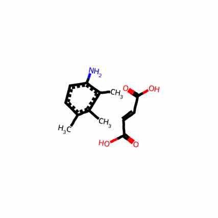 Cc1ccc(N)c(C)c1C.O=C(O)/C=C/C(=O)O